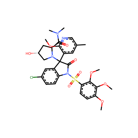 COc1ccc(S(=O)(=O)N2C(=O)C(c3cc(C)cnc3OC)(N3C[C@H](O)C[C@H]3C(=O)N(C)C)c3cc(Cl)ccc32)c(OC)c1OC